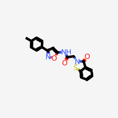 Cc1ccc(-c2cc(NC(=O)Cn3sc4ccccc4c3=O)on2)cc1